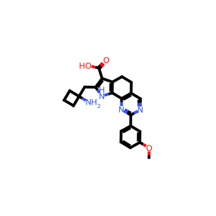 COc1cccc(-c2ncc3c(n2)-c2[nH]c(CC4(N)CCC4)c(C(=O)O)c2CC3)c1